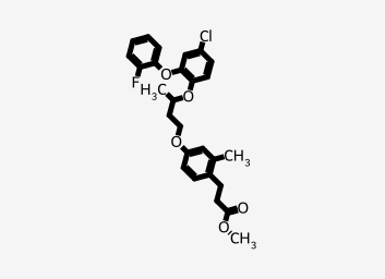 COC(=O)CCc1ccc(OCCC(C)Oc2ccc(Cl)cc2Oc2ccccc2F)cc1C